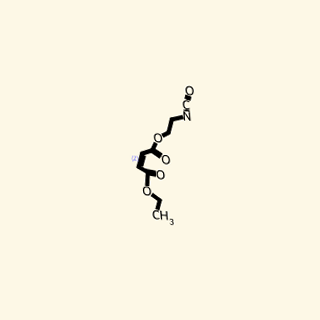 CCOC(=O)/C=C\C(=O)OCCN=C=O